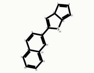 C1=CC2C=C(c3ccc4ccccc4c3)SC2=C1